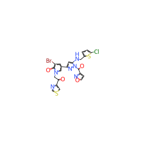 O=C(Cn1cc(-c2cc(NCc3ccc(Cl)s3)n(C(=O)c3ccon3)n2)cc(Br)c1=O)c1cscn1